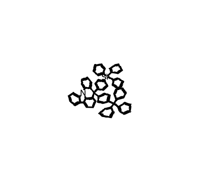 c1ccc(C(c2ccccc2)(c2ccccc2)c2ccc(C3(c4ccc([Si](c5ccccc5)(c5ccccc5)c5ccccc5)cc4)c4ccccc4-n4c5ccccc5c5cccc3c54)cc2)cc1